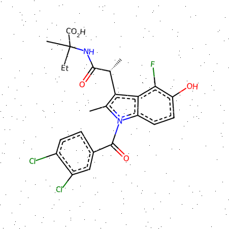 CCC(C)(NC(=O)[C@H](C)c1c(C)n(C(=O)c2ccc(Cl)c(Cl)c2)c2ccc(O)c(F)c12)C(=O)O